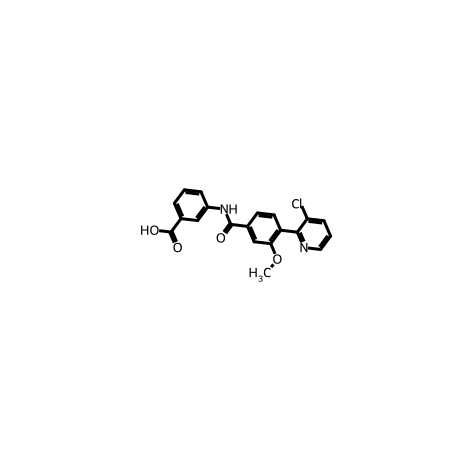 COc1cc(C(=O)Nc2cccc(C(=O)O)c2)ccc1-c1ncccc1Cl